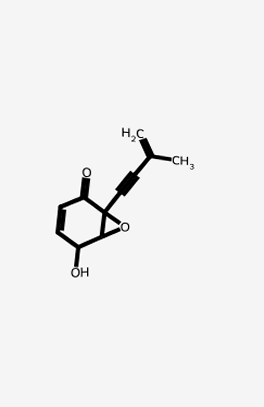 C=C(C)C#CC12OC1C(O)C=CC2=O